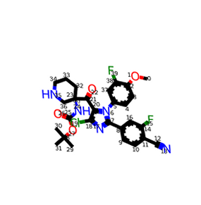 COc1ccc(-n2c(-c3ccc(C#N)c(F)c3)nc(Cl)c2C(=O)[C@@]2(NC(=O)OC(C)(C)C)CCCNC2)cc1F